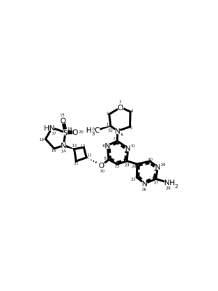 C[C@H]1COCCN1c1nc(O[C@H]2C[C@H](N3CCNS3(=O)=O)C2)cc(-c2cnc(N)nc2)n1